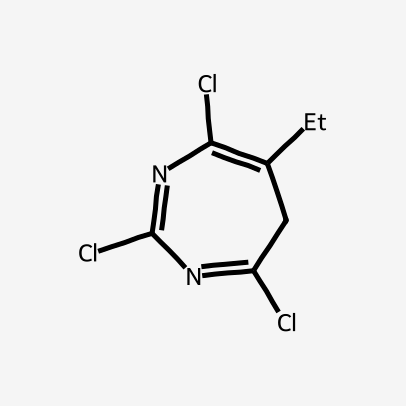 CCC1=C(Cl)N=C(Cl)N=C(Cl)C1